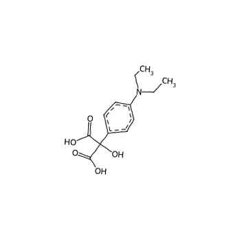 CCN(CC)c1ccc(C(O)(C(=O)O)C(=O)O)cc1